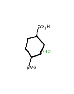 CNC1CCC(C(=O)O)CC1.Cl